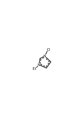 CC[n+]1ccn(Cl)c1